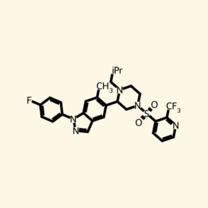 Cc1cc2c(cnn2-c2ccc(F)cc2)cc1C1CN(S(=O)(=O)c2cccnc2C(F)(F)F)CCN1CC(C)C